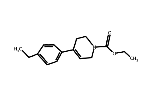 CCOC(=O)N1CC=C(c2ccc(CC)cc2)CC1